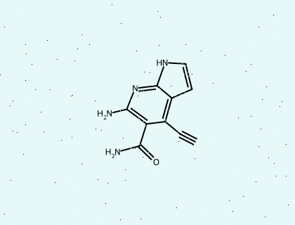 C#Cc1c(C(N)=O)c(N)nc2[nH]ccc12